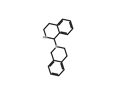 [C]1c2ccccc2CCN1C1NCCc2ccccc21